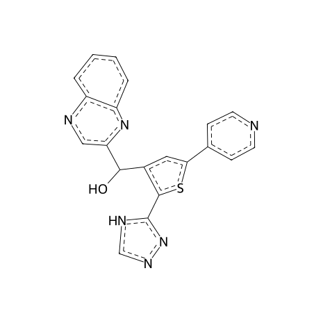 OC(c1cnc2ccccc2n1)c1cc(-c2ccncc2)sc1-c1nnc[nH]1